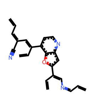 C=C/C=N\C=C(/C=C)c1cc2nccc(/C(C=C)=C/C(C#N)=C\C=C)c2o1